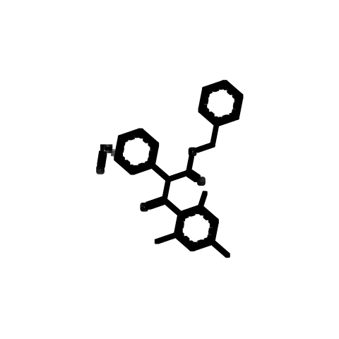 Cc1cc(C)c(C(=O)C(C(=O)OCc2ccccc2)c2ccccc2)c(C)c1.O=[PH3]